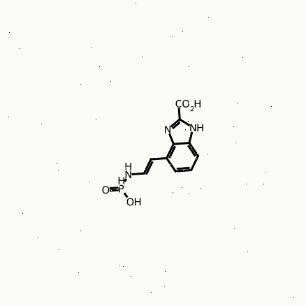 O=C(O)c1nc2c(/C=C/N[PH](=O)O)cccc2[nH]1